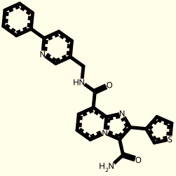 NC(=O)c1c(-c2ccsc2)nc2c(C(=O)NCc3ccc(-c4ccccc4)nc3)cccn12